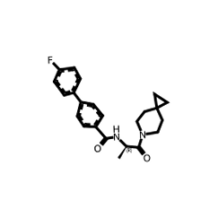 C[C@@H](NC(=O)c1ccc(-c2ccc(F)cc2)cc1)C(=O)N1CCC2(CC1)CC2